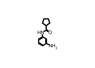 Nc1cccc(NC(=O)C2CCCC2)c1